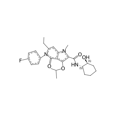 CCc1cc2c(c(OC(C)C)c(C(=O)N[C@H]3CCCC[C@@H]3O)n2C)c(=O)n1-c1ccc(F)cc1